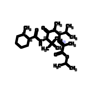 C/C(=C\[C@H](C(C)C)N(C)C(=O)[C@@H](NC(=O)[C@H]1CCCCN1C)C(C)(C)C)C(=O)OC(C)C